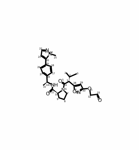 CC(C)[C@@H](C(=O)N1CCC[C@H]1C(=O)N[C@@H](C)c1ccc(-c2ccnn2C)cc1)c1cc(OCC=O)no1